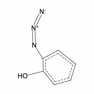 [N-]=[N+]=Nc1ccccc1O